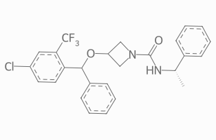 C[C@H](NC(=O)N1CC(OC(c2ccccc2)c2ccc(Cl)cc2C(F)(F)F)C1)c1ccccc1